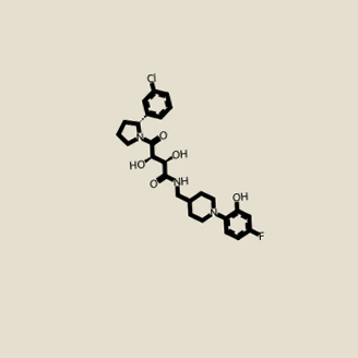 O=C(NCC1CCN(c2ccc(F)cc2O)CC1)[C@H](O)[C@@H](O)C(=O)N1CCC[C@@H]1c1cccc(Cl)c1